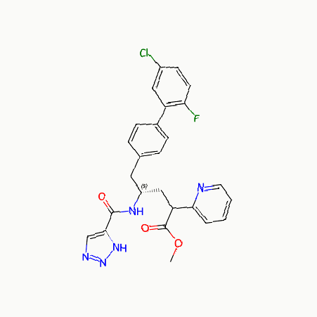 COC(=O)C(C[C@@H](Cc1ccc(-c2cc(Cl)ccc2F)cc1)NC(=O)c1cnn[nH]1)c1ccccn1